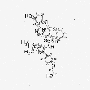 CCC(C)(C)c1cc(NC(=O)NCc2ccccc2Sc2ccc3nnc(-c4cc(O)ccc4Cl)n3c2)n(-c2ccc(OCCO)cc2)n1